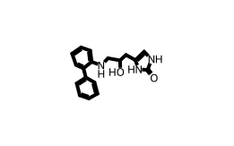 O=c1[nH]cc(CC(O)CNc2ccccc2-c2ccccc2)[nH]1